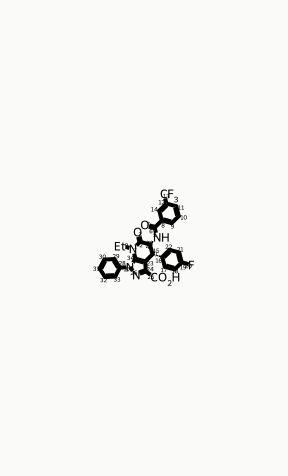 CCN1C(=O)[C@H](NC(=O)c2cccc(C(F)(F)F)c2)[C@H](c2ccc(F)cc2)c2c(C(=O)O)nn(-c3ccccc3)c21